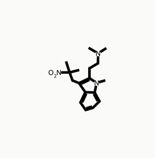 CN(C)CCc1c(CC(C)(C)[N+](=O)[O-])c2ccccc2n1C